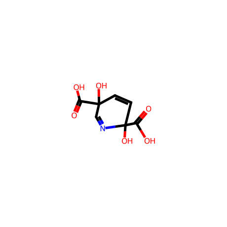 O=C(O)C1(O)C=CC(O)(C(=O)O)N=C1